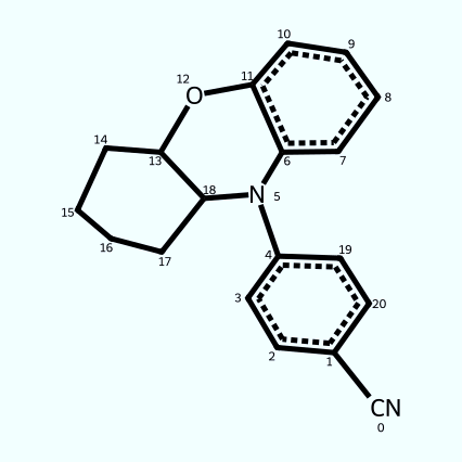 N#Cc1ccc(N2c3ccccc3OC3CCCCC32)cc1